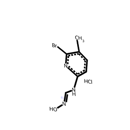 Cc1ccc(N/C=N/O)nc1Br.Cl